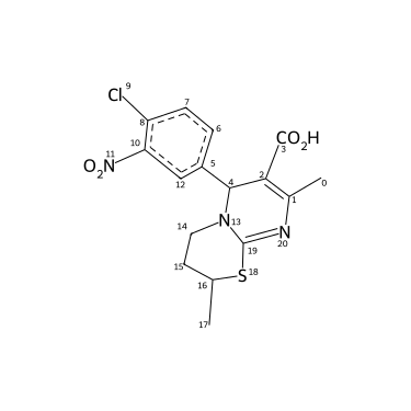 CC1=C(C(=O)O)C(c2ccc(Cl)c([N+](=O)[O-])c2)N2CCC(C)SC2=N1